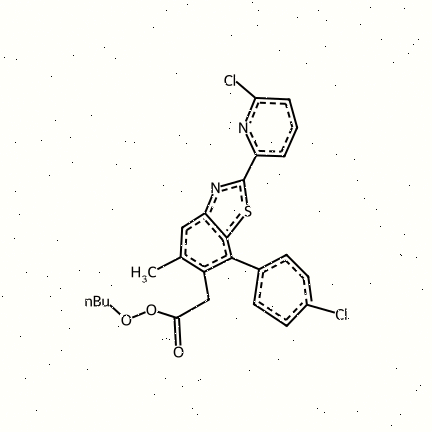 CCCCOOC(=O)Cc1c(C)cc2nc(-c3cccc(Cl)n3)sc2c1-c1ccc(Cl)cc1